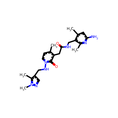 Cc1cc(N)nc(C)c1CNC(=O)Cc1c(C)ccn(NCc2cnn(C)c2C)c1=O